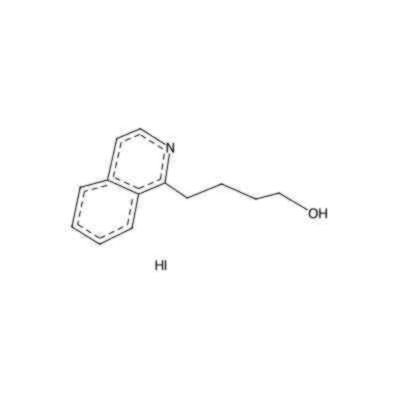 I.OCCCCc1nccc2ccccc12